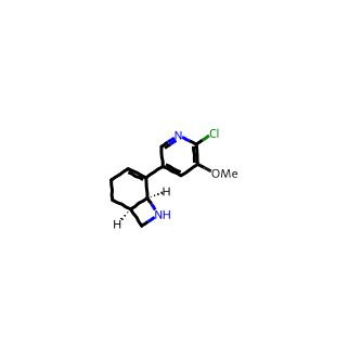 COc1cc(C2=CCC[C@@H]3CN[C@H]23)cnc1Cl